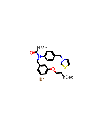 Br.CCCCCCCCCCCCOc1cccc(CN(C(=O)NC)c2ccc(CN3C=CSC3)cc2)c1